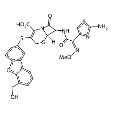 CO/N=C(\C(=O)N[C@@H]1C(=O)N2C(C(=O)O)=C(Sc3ccc4oc5c(CO)cccc5c4c3)CS[C@H]12)c1csc(N)n1